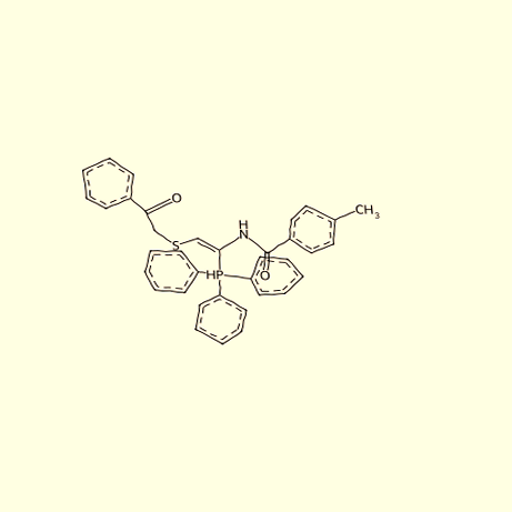 Cc1ccc(C(=O)N/C(=C/SCC(=O)c2ccccc2)[PH](c2ccccc2)(c2ccccc2)c2ccccc2)cc1